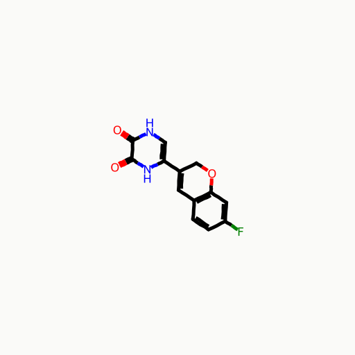 O=c1[nH]cc(C2=Cc3ccc(F)cc3OC2)[nH]c1=O